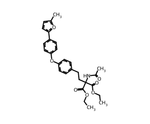 CCOC(=O)C(CCc1ccc(Oc2ccc(-c3ccc(C)o3)cc2)cc1)(NC(C)=O)C(=O)OCC